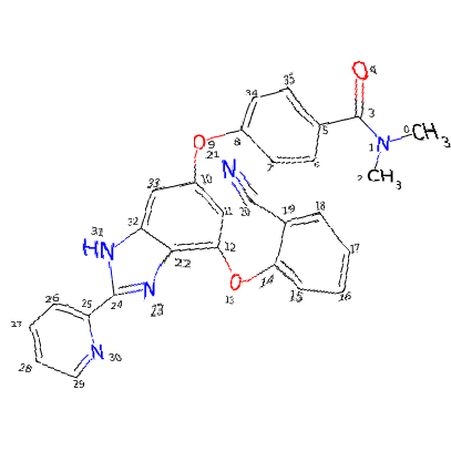 CN(C)C(=O)c1ccc(Oc2cc(Oc3ccccc3C#N)c3nc(-c4ccccn4)[nH]c3c2)cc1